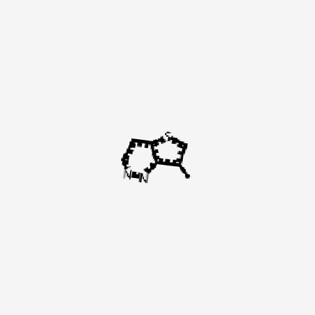 Cc1csc2ccnnc12